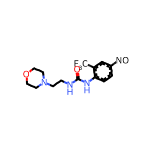 O=Nc1ccc(NC(=O)NCCN2CCOCC2)c(C(F)(F)F)c1